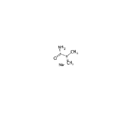 C=C(C)C(N)=O.[Na]